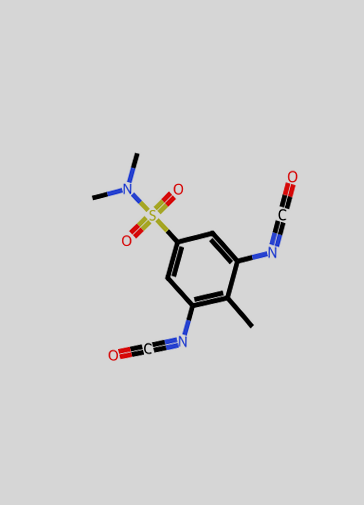 Cc1c(N=C=O)cc(S(=O)(=O)N(C)C)cc1N=C=O